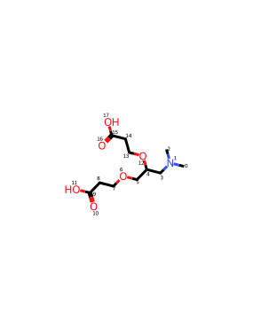 CN(C)CC(COCCC(=O)O)OCCC(=O)O